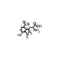 CSc1ccc([N+](=O)[O-])c2c(CC(N)C(=O)O)c(C)n(C)c12